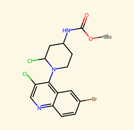 CC(C)(C)OC(=O)NC1CCN(c2c(Cl)cnc3ccc(Br)cc23)C(Cl)C1